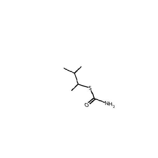 CC(C)C(C)SC(N)=O